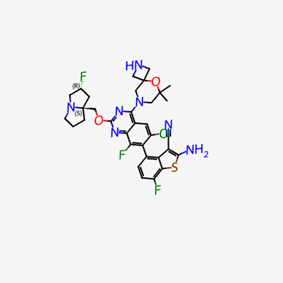 CC1(C)CN(c2nc(OC[C@@]34CCCN3C[C@H](F)C4)nc3c(F)c(-c4ccc(F)c5sc(N)c(C#N)c45)c(Cl)cc23)CC2(CNC2)O1